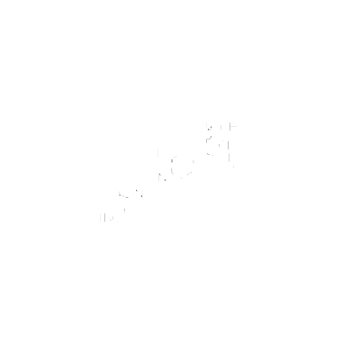 C=C(O[Si](C)(C)C(C)(C)C)c1ccc(N2CCN(C(=O)OC(C)(C)C)CC2)c(F)c1